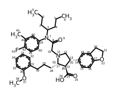 CCCC(CCC)N(C(=O)CN1C[C@H](c2ccc3c(c2)CCO3)[C@@H](C(=O)O)[C@@H]1CCCc1ccccc1OC)c1ccc(F)c(C)c1